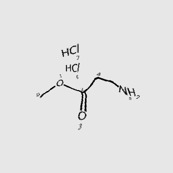 COC(=O)CN.Cl.Cl